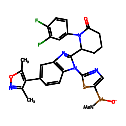 CN[S+]([O-])c1cnc(-n2c(C3CCCC(=O)N3c3ccc(F)c(F)c3)nc3cc(-c4c(C)noc4C)ccc32)s1